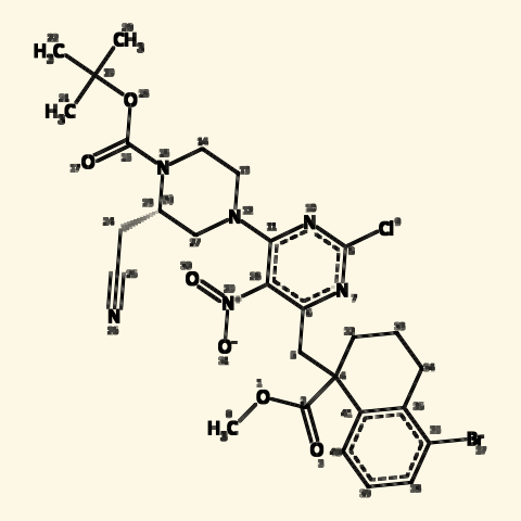 COC(=O)C1(Cc2nc(Cl)nc(N3CCN(C(=O)OC(C)(C)C)[C@@H](CC#N)C3)c2[N+](=O)[O-])CCCc2c(Br)cccc21